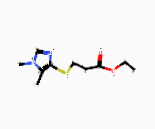 CCOC(=O)CCSc1ncn(C)c1C